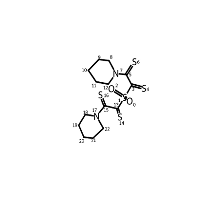 O=S(=O)(C(=S)C(=S)N1CCCCC1)C(=S)C(=S)N1CCCCC1